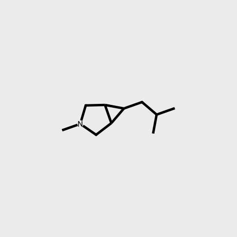 CC(C)CC1C2CN(C)CC12